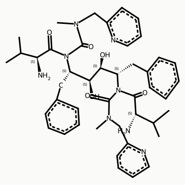 CC(C)[C@H](N)C(=O)N(C(=O)N(C)Cc1ccccn1)[C@@H](Cc1ccccc1)[C@H](O)[C@@H](O)[C@H](Cc1ccccc1)N(C(=O)[C@@H](N)C(C)C)C(=O)N(C)Cc1ccccn1